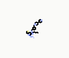 CCCCc1nc2c(N)nc3ccsc3c2n1Cc1cccc(CN2CCC(c3ccncc3)CC2)c1